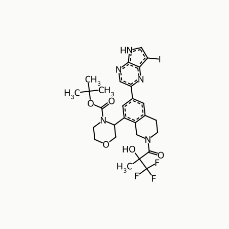 CC(C)(C)OC(=O)N1CCOCC1c1cc(-c2cnc3[nH]cc(I)c3n2)cc2c1CN(C(=O)C(C)(O)C(F)(F)F)CC2